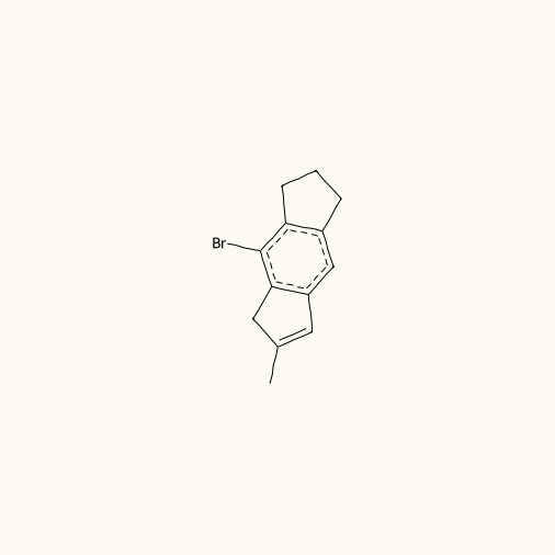 CC1=Cc2cc3c(c(Br)c2C1)CCC3